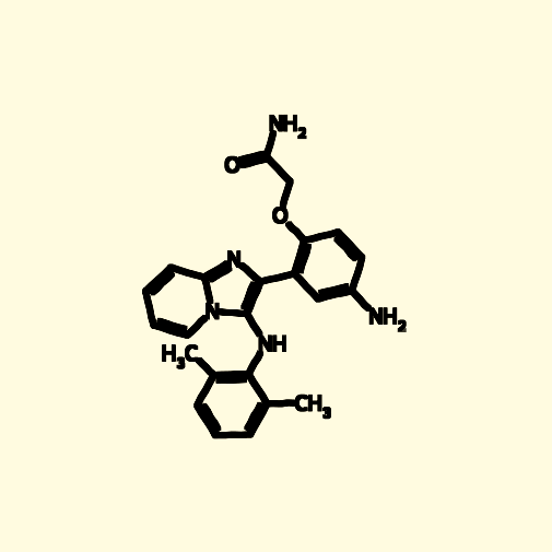 Cc1cccc(C)c1Nc1c(-c2cc(N)ccc2OCC(N)=O)nc2ccccn12